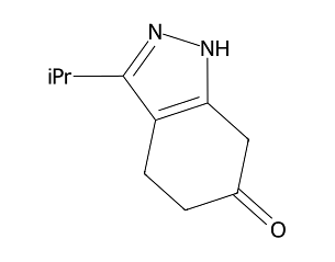 CC(C)c1n[nH]c2c1CCC(=O)C2